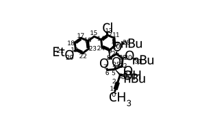 CC#CC(O)[C@@]12CO[C@@](c3ccc(Cl)c(Cc4ccc(OCC)cc4)c3)(O1)[C@H](OCCCC)[C@@H](OCCCC)[C@@H]2OCCCC